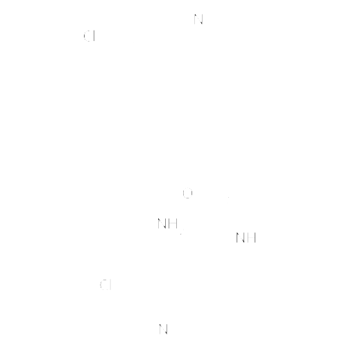 Nc1c(NC(=O)Cc2ccc3ncc(Cl)cc3c2)ccnc1Cl